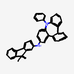 CC1(C)c2ccccc2-c2ccc(Nc3ccc4c(c3)-c3ccccc3-c3ccccc3N4c3ccccc3)cc21